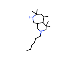 CCCCCCN1CC2CNC(C)(C)CC(C)C2C(C)(C)C1